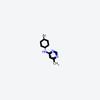 Cc1cc(N[C@H]2CC[C@H](C(C)=O)CC2)ncn1